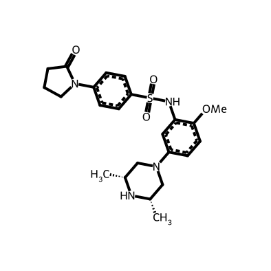 COc1ccc(N2C[C@@H](C)N[C@@H](C)C2)cc1NS(=O)(=O)c1ccc(N2CCCC2=O)cc1